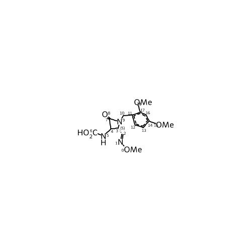 CON=C[C@@H]1C(NC(=O)O)C(=O)N1Cc1ccc(OC)cc1OC